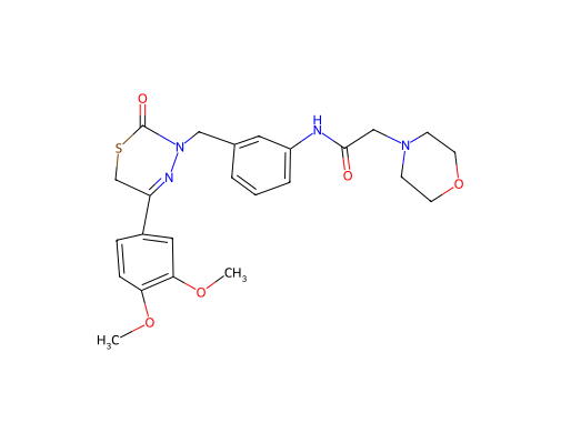 COc1ccc(C2=NN(Cc3cccc(NC(=O)CN4CCOCC4)c3)C(=O)SC2)cc1OC